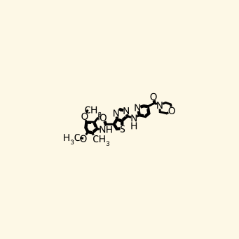 COc1cc(OC)c(I)c(NC(=O)c2csc3c(Nc4ccc(C(=O)N5CCOCC5)cn4)ncnc23)c1C